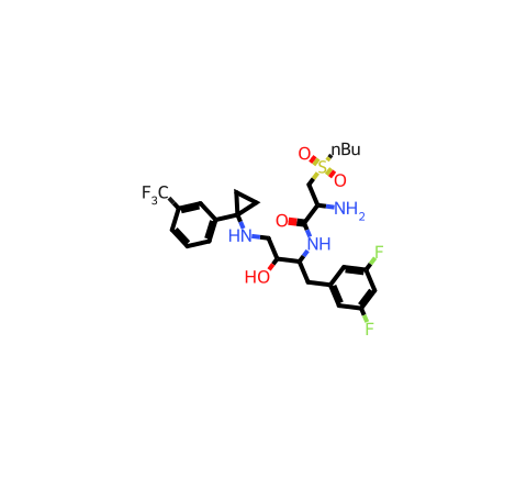 CCCCS(=O)(=O)CC(N)C(=O)NC(Cc1cc(F)cc(F)c1)C(O)CNC1(c2cccc(C(F)(F)F)c2)CC1